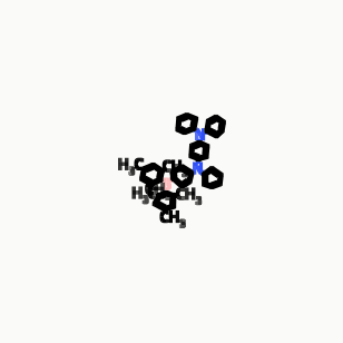 Cc1cc(C)c(B(c2ccc(N(c3ccccc3)c3ccc(N(c4ccccc4)c4ccccc4)cc3)cc2)c2c(C)cc(C)cc2C)c(C)c1